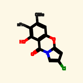 CCCc1c(OC)cc2oc3cc(Cl)cn3c(=O)c2c1O